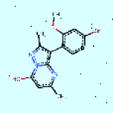 COc1cc(Br)ccc1-c1c(C)nn2c(O)cc(C)nc12